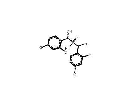 O=P(O)(C(O)c1ccc(Cl)cc1Cl)C(O)c1ccc(Cl)cc1Cl